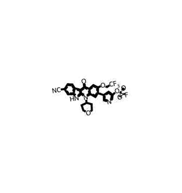 N#Cc1ccc2c(c1)[nH]c1c2c(=O)c2cc(OCC(F)(F)F)c(-c3cncc(OS(=O)(=O)F)c3)cc2n1C1CCOCC1